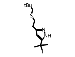 CC(C)(C)CSCCc1cc(C(C)(C)I)[nH]n1